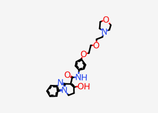 O=C(Nc1ccc(OCCOCCN2CCOCC2)cc1)C1=C(O)CCn2c1nc1ccccc12